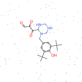 CC(C)(C)c1cc(CN2CNCNC2C(=O)C(=O)C=O)cc(C(C)(C)C)c1O